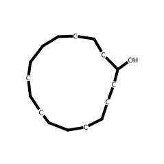 OC1CCCCCCCCCCCCCCC1